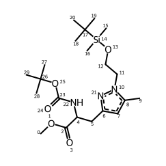 COC(=O)C(Cc1cc(C)n(CCO[Si](C)(C)C(C)(C)C)n1)NC(=O)OC(C)(C)C